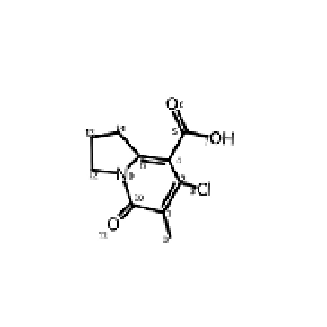 Cc1c(Cl)c(C(=O)O)c2n(c1=O)CCC2